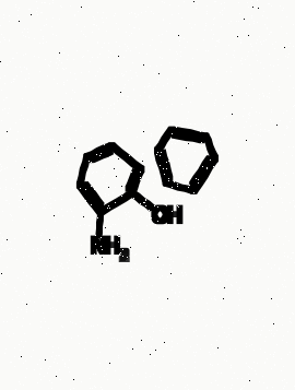 Nc1ccccc1O.c1ccccc1